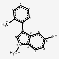 Cc1ccccc1-c1cn(C)c2ccc(F)cc12